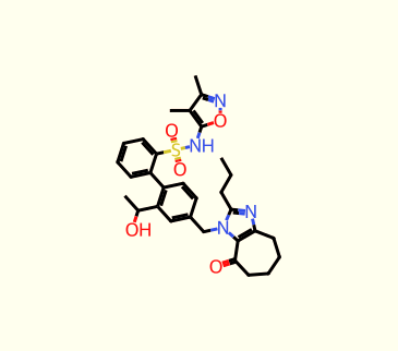 CCCc1nc2c(n1Cc1ccc(-c3ccccc3S(=O)(=O)Nc3onc(C)c3C)c(C(C)O)c1)C(=O)CCCC2